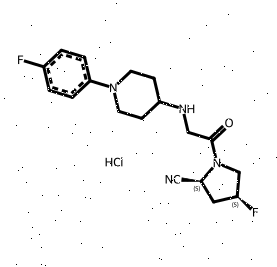 Cl.N#C[C@@H]1C[C@H](F)CN1C(=O)CNC1CCN(c2ccc(F)cc2)CC1